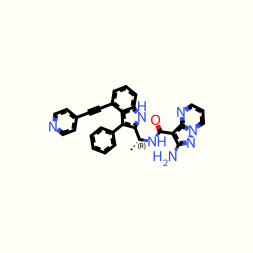 C[C@@H](NC(=O)c1c(N)nn2cccnc12)c1[nH]c2cccc(C#Cc3ccncc3)c2c1-c1ccccc1